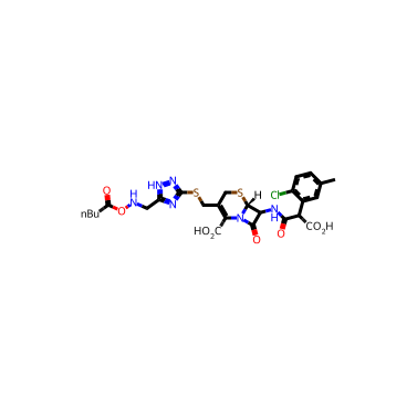 CCCCC(=O)ONCc1nc(SCC2=C(C(=O)O)N3C(=O)C(NC(=O)C(C(=O)O)c4cc(C)ccc4Cl)[C@H]3SC2)n[nH]1